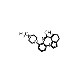 CC1=Nc2c(N3CCN(C)CC3)cccc2-n2ccc3c2C1=CCC3